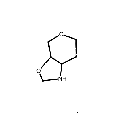 C1CC2NCOC2CO1